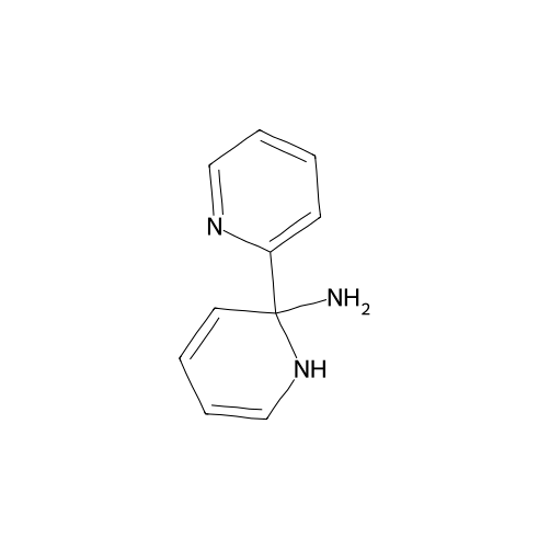 NC1(c2ccccn2)C=CC=CN1